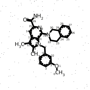 COc1cccc(Cn2c(C)c(C)c3cc(C(N)=O)nc(N4CCc5ccccc5C4)c32)c1